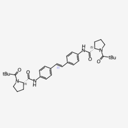 CC(C)(C)C(=O)N1CCC[C@H]1C(=O)Nc1ccc(/C=C/c2ccc(NC(=O)[C@@H]3CCCN3C(=O)C(C)(C)C)cc2)cc1